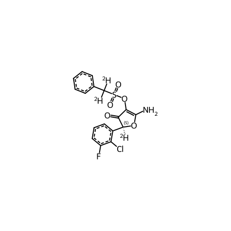 [2H]C([2H])(c1ccccc1)S(=O)(=O)OC1=C(N)O[C@@]([2H])(c2cccc(F)c2Cl)C1=O